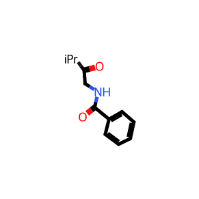 CC(C)C(=O)CNC(=O)c1ccccc1